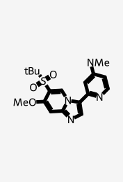 CNc1ccnc(-c2cnc3cc(OC)c(S(=O)(=O)C(C)(C)C)cn23)c1